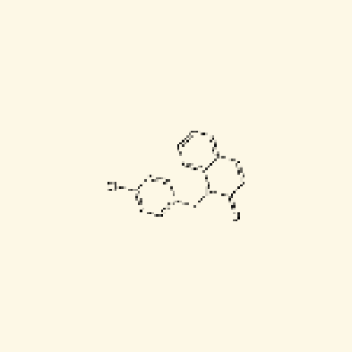 O=c1ccc2ccccc2n1Cc1ccc(Cl)cc1